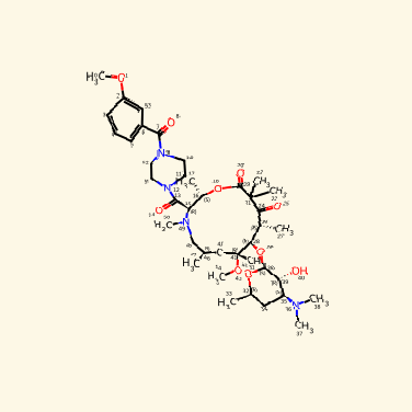 COc1cccc(C(=O)N2CCN(C(=O)[C@H]3[C@H](C)OC(=O)C(C)(C)C(=O)[C@H](C)[C@@H](O[C@@H]4O[C@H](C)C[C@H](N(C)C)[C@H]4O)[C@](C)(OC)C[C@@H](C)CN3C)CC2)c1